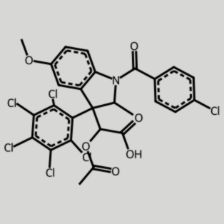 COc1ccc2c(c1)C(c1c(Cl)c(Cl)c(Cl)c(Cl)c1Cl)(C(OC(C)=O)C(=O)O)C(C)N2C(=O)c1ccc(Cl)cc1